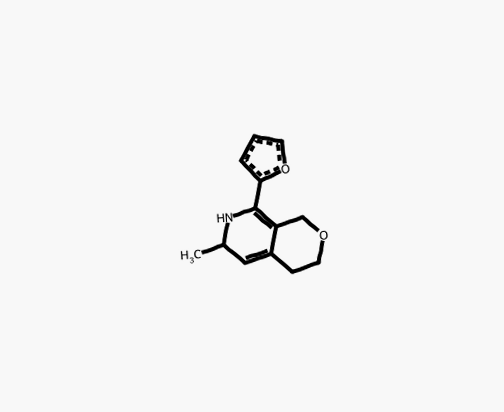 CC1C=C2CCOCC2=C(c2ccco2)N1